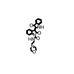 O=C1/C(=C2/C(=O)N(C(=O)NCCN3CCOCC3)c3ccccc32)Nc2ccccc21